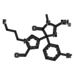 CN1C(=O)C(c2cccc(Br)c2)(c2cc(C=O)n(CCCF)c2)N=C1N